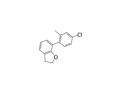 Cc1cc(Cl)ccc1-c1cccc2c1O[CH]C2